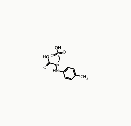 Cc1ccc(N[C@@H](CS(=O)(=O)O)C(=O)O)cc1